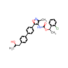 C=C(O)Cc1ccc(-c2ccc(-c3onc(C)c3NC(=O)O[C@H](C)c3ccccc3Cl)cc2)cc1